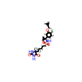 CC1(CCCCCS(=O)(=O)NC2(c3ccc(F)c(OCC4CC4)c3)CC2)NC(=O)NC1=O